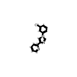 Clc1cccc(-n2cnc(-c3ccccn3)c2)c1